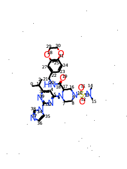 CC(C)c1cc(N2CCN(S(=O)(=O)N(C)C)CC2C(=O)NCc2ccc3c(c2)OCCO3)nc(-n2ccnc2)n1